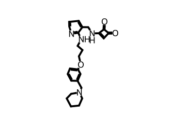 O=c1cc(NCc2cccnc2NCCCOc2cccc(CN3CCCCC3)c2)c1=O